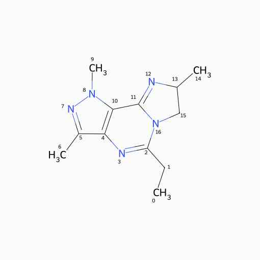 CCC1=Nc2c(C)nn(C)c2C2=NC(C)CN12